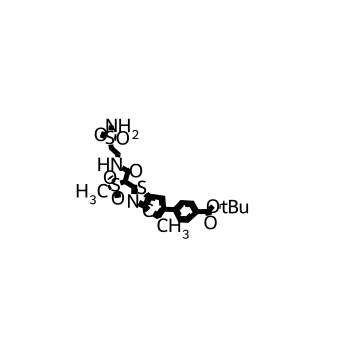 Cc1cc2nc(C(C(=O)NCCS(N)(=O)=O)S(C)(=O)=O)sc2cc1-c1ccc(C(=O)OC(C)(C)C)cc1